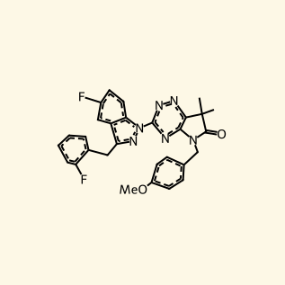 COc1ccc(CN2C(=O)C(C)(C)c3nnc(-n4nc(Cc5ccccc5F)c5cc(F)ccc54)nc32)cc1